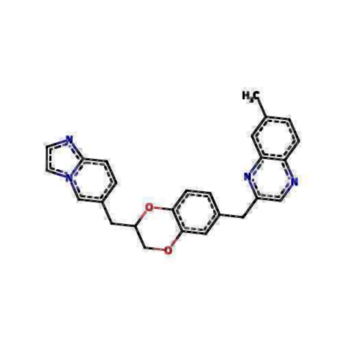 Cc1ccc2ncc(Cc3ccc4c(c3)OCC(Cc3ccc5nccn5c3)O4)nc2c1